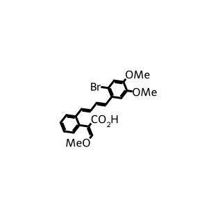 CO/C=C(/C(=O)O)c1ccccc1/C=C/C=C/c1cc(OC)c(OC)cc1Br